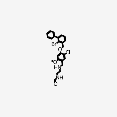 COc1cc(OCc2cccc(-c3ccccc3)c2Br)c(Cl)cc1CNCCNC=O